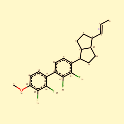 C/C=C/C1CCC2C(c3ccc(-c4ccc(OC)c(F)c4F)c(F)c3F)CCC12